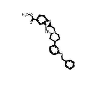 COC(=O)c1ccc2nc(CN3CCC(c4cccc(OCc5ccccc5)n4)CC3)n(C)c2c1